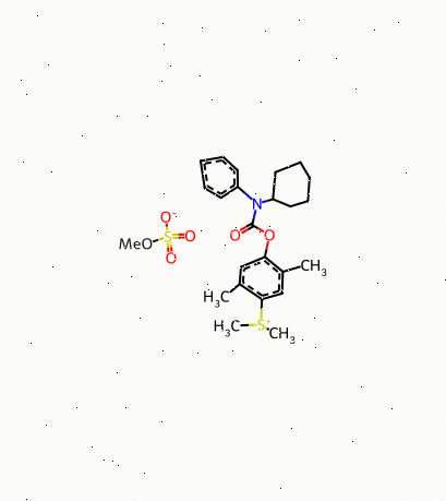 COS(=O)(=O)[O-].Cc1cc([S+](C)C)c(C)cc1OC(=O)N(c1ccccc1)C1CCCCC1